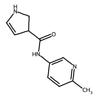 Cc1ccc(NC(=O)C2C=CNC2)cn1